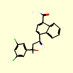 NC(=O)c1ccc(C2=NOC(c3cc(Cl)cc(Cl)c3)(C(F)(F)F)C2)c2ccccc12